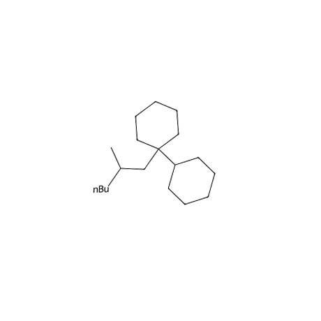 CCCCC(C)CC1(C2CCCCC2)CCCCC1